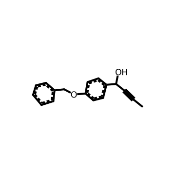 CC#CC(O)c1ccc(OCc2ccccc2)cc1